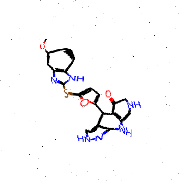 COc1ccc2[nH]c(Sc3ccc(C4C5=C(CNCC5=O)Nc5n[nH]cc54)o3)nc2c1